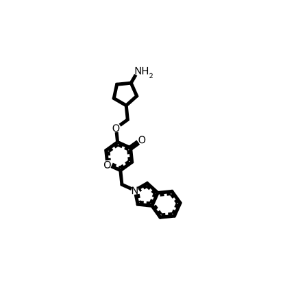 NC1CCC(COc2coc(Cn3cc4ccccc4c3)cc2=O)C1